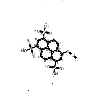 O=S(=O)(O)c1cc(N=C=S)c2ccc3c(S(=O)(=O)O)cc(S(=O)(=O)O)c4ccc1c2c34